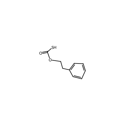 O=C(S)OCCc1ccccc1